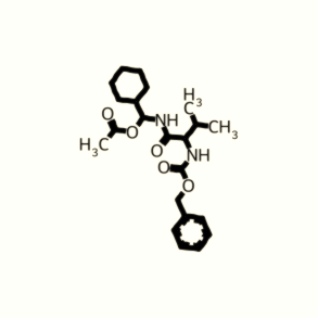 CC(=O)OC(NC(=O)C(NC(=O)OCc1ccccc1)C(C)C)C1CCCCC1